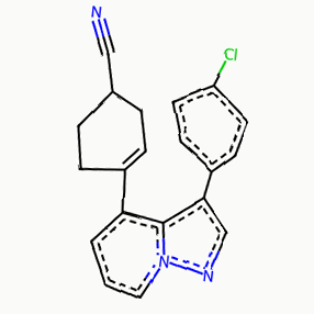 N#CC1CC=C(c2cccn3ncc(-c4ccc(Cl)cc4)c23)CC1